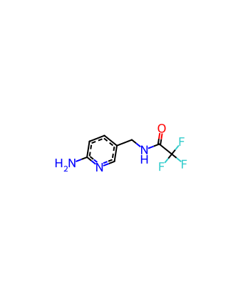 Nc1ccc(CNC(=O)C(F)(F)F)cn1